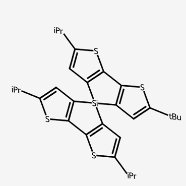 CC(C)c1cc2c(s1)-c1sc(C(C)C)cc1[Si]21c2cc(C(C)C)sc2-c2sc(C(C)(C)C)cc21